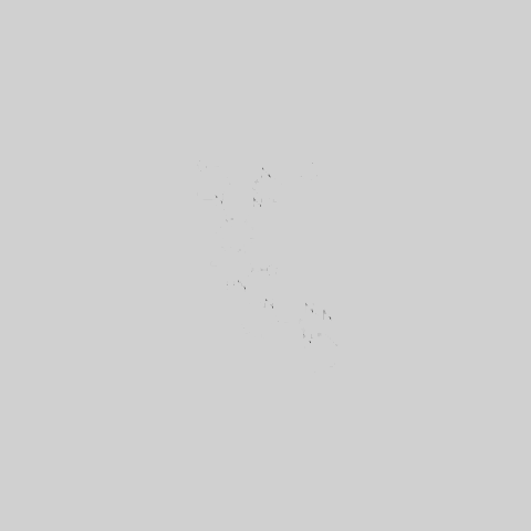 O=C(Nc1cccc(-c2nnc3n2CCCC3)n1)c1cc(-n2cnc(C3CC3)c2)c(N2CCOCC2)cc1F